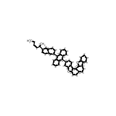 C=C/C=C\C(=C)c1ccc2cc(-c3c4ccccc4c(-c4ccc5c(c4)oc4ccc6ccc7c8ccccc8oc7c6c45)c4ccccc34)ccc2c1